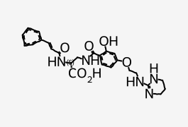 O=C(C=Cc1ccccc1)N[C@@H](CNC(=O)c1ccc(OCCNC2=NCCCN2)cc1O)C(=O)O